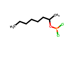 CCCCCCC(C)OP(Cl)Cl